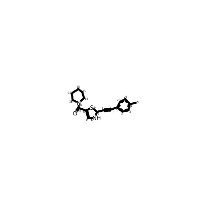 Cc1ccc(C#CC2NC=C(C(=O)N3CCCCC3)S2)cc1